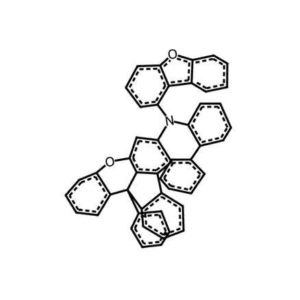 c1ccc(-c2ccccc2N(c2cc3c4c(c2)-c2ccccc2C4(c2ccccc2)c2ccccc2O3)c2cccc3oc4ccccc4c23)cc1